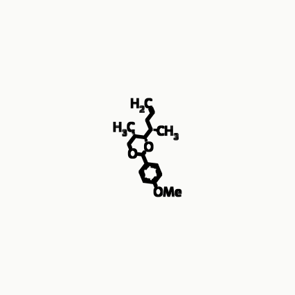 C=CC[C@H](C)[C@@H]1OC(c2ccc(OC)cc2)OC[C@@H]1C